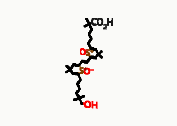 CC1(C)C=C(C=CC2=CC(C)(C)C=C(CCCCC(C)(C)C(=O)O)[S+]2[O-])[S+]([O-])C(CCCCC(C)(C)CO)=C1